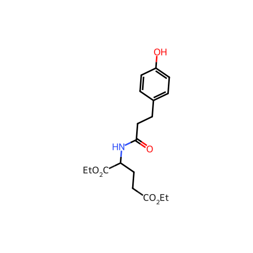 CCOC(=O)CCC(NC(=O)CCc1ccc(O)cc1)C(=O)OCC